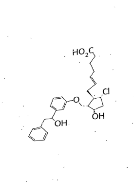 O=C(O)CCCC=CC[C@@H]1[C@@H](COc2cccc(C(O)Cc3ccccc3)c2)[C@H](O)C[C@H]1Cl